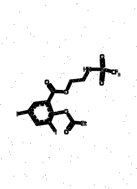 CCC(=O)Oc1c(I)cc(I)cc1C(=O)OCCNS(=O)(=O)C(F)(F)F